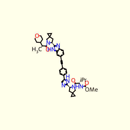 COC(=O)N[C@H](C(=O)N1CC2(CC2)C[C@H]1c1ncc(-c2ccc(C#Cc3ccc4nc([C@@H]5CC6(CC6)CN5C(=O)[C@@H](C)C5CCOCC5)[nH]c4c3)cc2)[nH]1)C(C)C